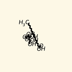 CCCCCCCCC=CCCCCCCCC(=O)O.O=C1O[C@H]([C@@H](O)CO)C(O)=C1O